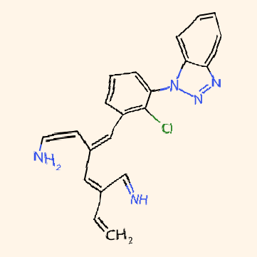 C=C/C(C=N)=C/C(/C=C\N)=C/c1cccc(-n2nnc3ccccc32)c1Cl